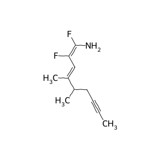 CC#CCC(C)/C(C)=C/C(F)=C(\N)F